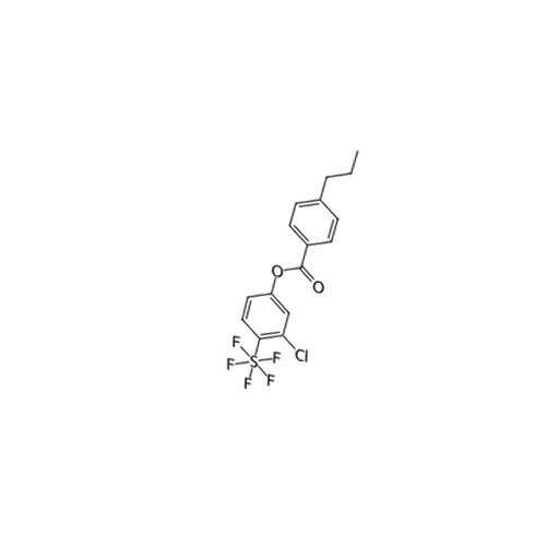 CCCc1ccc(C(=O)Oc2ccc(S(F)(F)(F)(F)F)c(Cl)c2)cc1